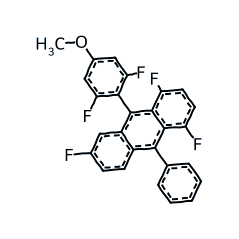 COc1cc(F)c(-c2c3cc(F)ccc3c(-c3ccccc3)c3c(F)ccc(F)c23)c(F)c1